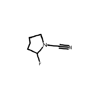 N#CN1CCCC1F